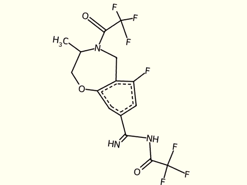 CC1COc2cc(C(=N)NC(=O)C(F)(F)F)cc(F)c2CN1C(=O)C(F)(F)F